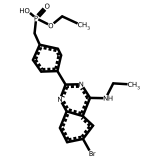 CCNc1nc(-c2ccc(CP(=O)(O)OCC)cc2)nc2ccc(Br)cc12